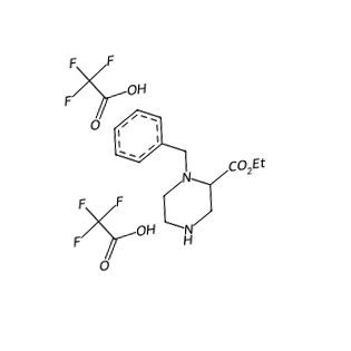 CCOC(=O)C1CNCCN1Cc1ccccc1.O=C(O)C(F)(F)F.O=C(O)C(F)(F)F